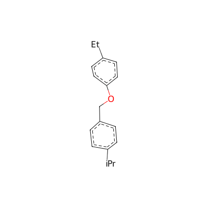 CCc1ccc(OCc2ccc(C(C)C)cc2)cc1